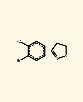 C1=NSCC1.Oc1ccccc1Br